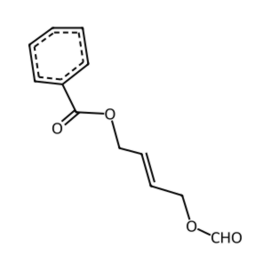 O=COCC=CCOC(=O)c1ccccc1